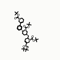 CC(C)(C)OC(=O)N1CCC=C(c2cccc([C@H]3CC[C@H](CC4CC=C(B5OC(C)(C)C(C)(C)O5)CN4C(=O)OC(C)(C)C)CN3C(=O)OC(C)(C)C)c2)C1